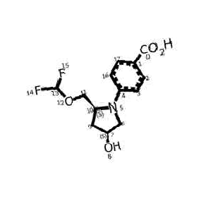 O=C(O)c1ccc(N2C[C@@H](O)C[C@H]2COC(F)F)cc1